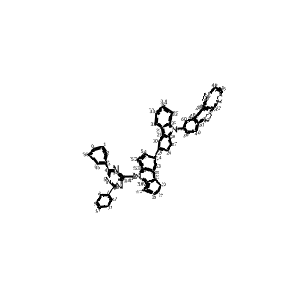 c1ccc(-c2nc(-c3ccccc3)nc(-n3c4ccccc4c4cc(-c5ccc6c(c5)c5ccccc5n6-c5ccc6oc7cccnc7c6c5)ccc43)n2)cc1